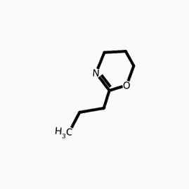 CCCC1=NCCCO1